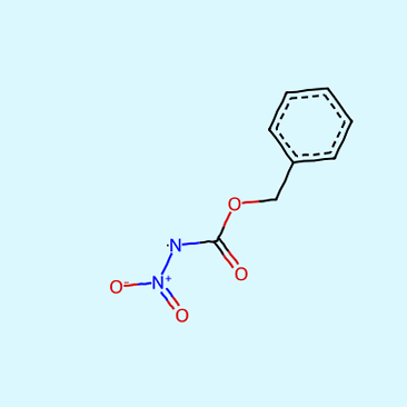 O=C([N][N+](=O)[O-])OCc1ccccc1